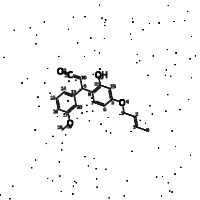 CC=CCOc1ccc(C(C=C=O)c2cccc(OC)c2)c(O)c1